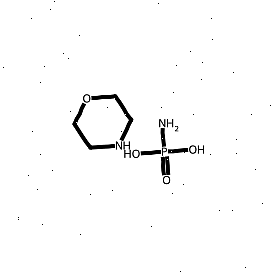 C1COCCN1.NP(=O)(O)O